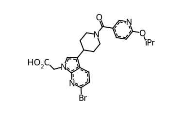 CC(C)Oc1ccc(C(=O)N2CCC(c3cn(CC(=O)O)c4nc(Br)ccc34)CC2)cn1